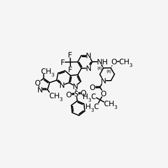 CO[C@@H]1CCN(C(=O)OC(C)(C)C)C[C@H]1Nc1ncc(C(F)(F)F)c(-c2cn(S(=O)(=O)c3ccccc3)c3nc(-c4c(C)noc4C)ccc23)n1